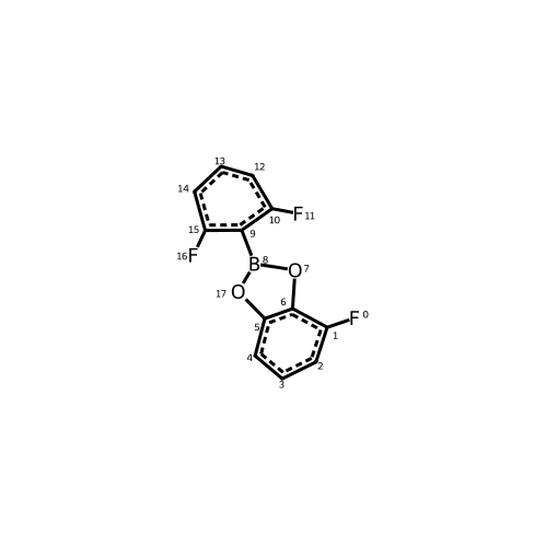 Fc1cccc2c1OB(c1c(F)cccc1F)O2